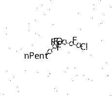 CCCCCc1ccc(-c2cc(F)c(C(F)(F)Oc3ccc(-c4ccc(-c5ccc(Cl)cc5)c(F)c4)cc3)c(F)c2)cc1